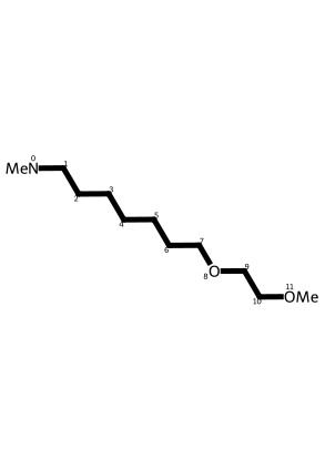 CNCCCCCCCOCCOC